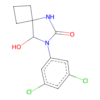 O=C1NC2(CCC2)C(O)N1c1cc(Cl)cc(Cl)c1